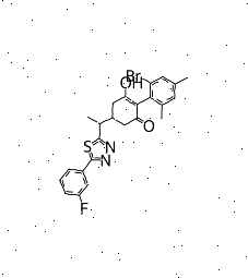 Cc1cc(C)c(C2=C(O)CC(C(C)c3nnc(-c4cccc(F)c4)s3)CC2=O)c(Br)c1